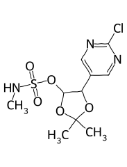 CNS(=O)(=O)OC1OC(C)(C)OC1c1cnc(Cl)nc1